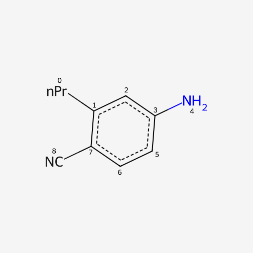 CCCc1cc(N)ccc1C#N